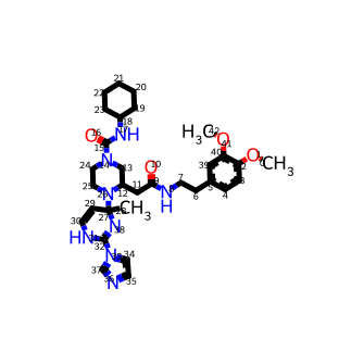 COc1ccc(CCNC(=O)CC2CN(C(=O)NC3CCCCC3)CCN2C2(C)C=CNC(n3ccnc3)=N2)cc1OC